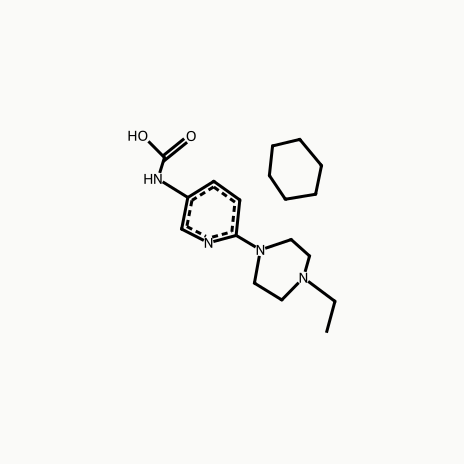 C1CCCCC1.CCN1CCN(c2ccc(NC(=O)O)cn2)CC1